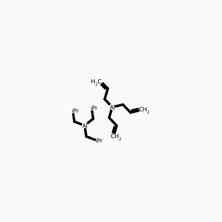 C=C[CH2][Al]([CH2]C=C)[CH2]C=C.CC(C)[CH2][Al]([CH2]C(C)C)[CH2]C(C)C